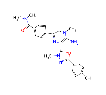 Cc1ccc(C2=NN(C)C(C3=C(N)N(C)CC(c4ccc(C(=O)N(C)C)cc4)=N3)O2)cc1